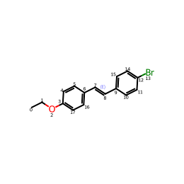 CCOc1ccc(/C=C/c2ccc(Br)cc2)cc1